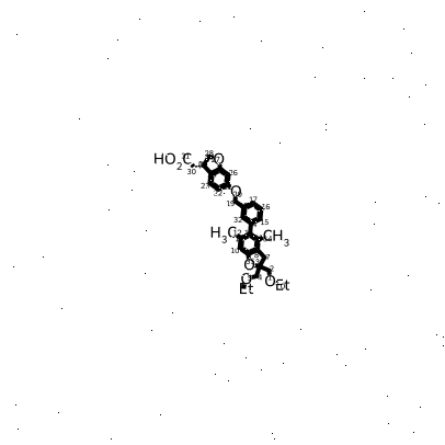 CCOCC1(COCC)Cc2c(cc(C)c(-c3cccc(COc4ccc5c(c4)OC[C@H]5CC(=O)O)c3)c2C)O1